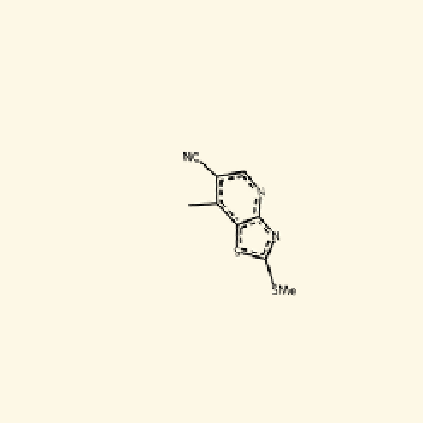 CSc1nc2ncc(C#N)c(C)c2s1